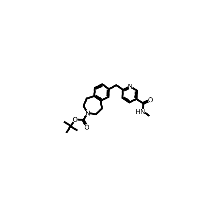 CNC(=O)c1ccc(Cc2ccc3c(c2)CCN(C(=O)OC(C)(C)C)CC3)nc1